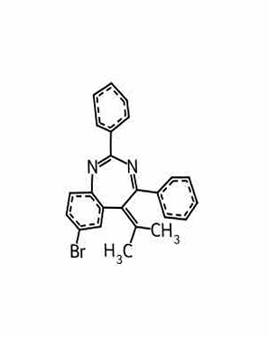 CC(C)=C1C(c2ccccc2)=NC(c2ccccc2)=Nc2ccc(Br)cc21